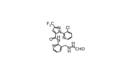 O=CNNCc1cccnc1NC(=O)c1cc(C(F)(F)F)nn1-c1ncccc1Cl